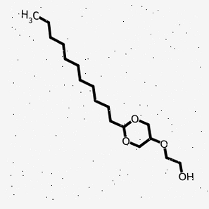 CCCCCCCCCCCC1OCC(OCCO)CO1